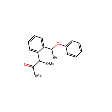 CNC(=O)C(OC)c1ccccc1C(Oc1ccccc1)C(C)C